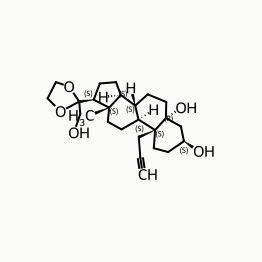 C#CC[C@]12CC[C@H](O)C[C@]1(O)CC[C@H]1[C@@H]3CC[C@H](C4(CO)OCCO4)[C@@]3(C)CC[C@@H]12